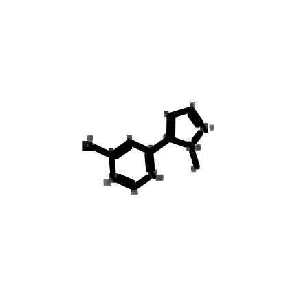 CCc1cc(-c2ccnn2C)ncn1